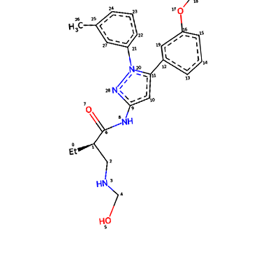 CC[C@H](CNCO)C(=O)Nc1cc(-c2cccc(OC(F)(F)F)c2)n(-c2cccc(C)c2)n1